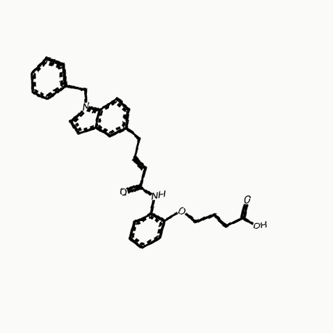 O=C(O)CCCOc1ccccc1NC(=O)C=CCc1ccc2c(ccn2Cc2ccccc2)c1